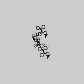 O=C([O-])C(=O)OF.O=C([O-])C(=O)OF.[Li+].[Li+].[Li+].[Li+].[Li+].[O-]B([O-])[O-]